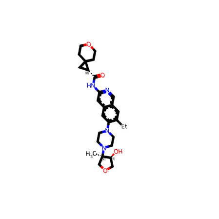 CCc1cc2cnc(NC(=O)[C@@H]3CC34CCOCC4)cc2cc1N1CCN([C@]2(C)COC[C@@H]2O)CC1